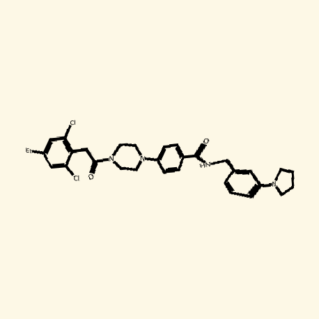 CCc1cc(Cl)c(CC(=O)N2CCN(c3ccc(C(=O)NCc4cccc(N5CCCC5)c4)cc3)CC2)c(Cl)c1